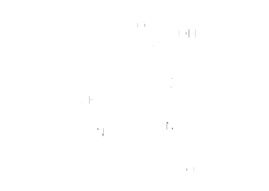 N#Cc1c(N2CCOCC2)sc(C(=O)O)c1-c1ccccc1F